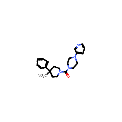 O=C(N1CCN(c2cccnc2)CC1)N1CCC(C(=O)O)(c2ccccc2)CC1